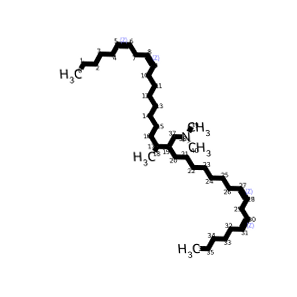 CCCCC/C=C\C/C=C\CCCCCCCC(C)C(CCCCCCC/C=C\C/C=C\CCCCC)CN(C)C